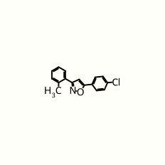 Cc1ccccc1-c1cc(-c2ccc(Cl)cc2)on1